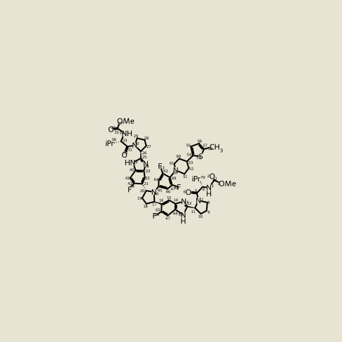 COC(=O)N[C@H](C(=O)N1CCC[C@H]1c1nc2cc([C@H]3CC[C@H](c4cc5nc([C@@H]6CCCN6C(=O)[C@@H](NC(=O)OC)C(C)C)[nH]c5cc4F)N3c3cc(F)c(N4CCC(c5ccc(C)s5)CC4)c(F)c3)c(F)cc2[nH]1)C(C)C